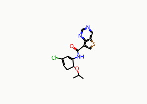 CC(C)OC1CC=C(Cl)C=C1NC(=O)c1csc2cncnc12